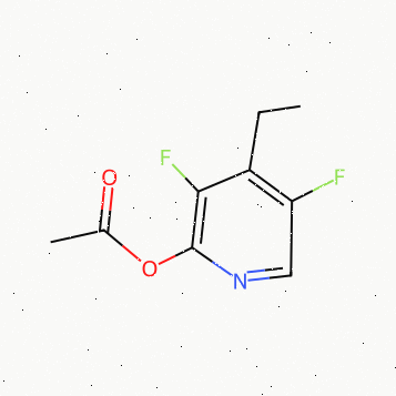 CCc1c(F)cnc(OC(C)=O)c1F